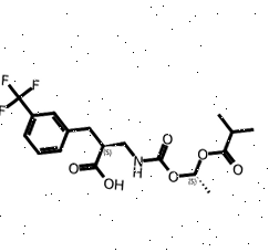 CC(C)C(=O)O[C@H](C)OC(=O)NC[C@H](Cc1cccc(C(F)(F)F)c1)C(=O)O